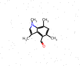 Cc1cc(C)c2c(c(C)cn2C)c1C=O